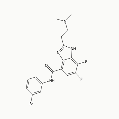 CN(C)CCc1nc2c(C(=O)Nc3cccc(Br)c3)cc(F)c(F)c2[nH]1